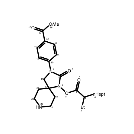 CCCCCCCC(CC)C(=O)ON1C(=O)N(c2ccc(C(=O)OC)cc2)CC12CCNCC2